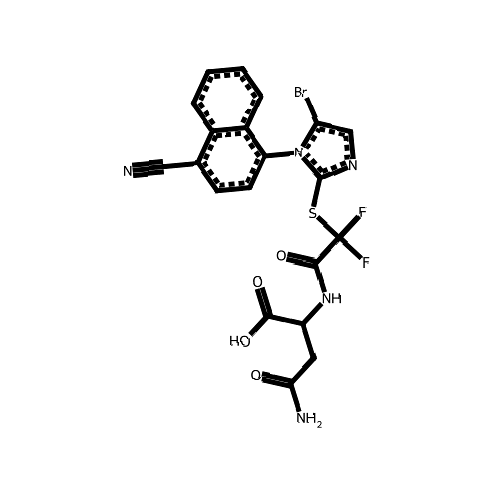 N#Cc1ccc(-n2c(Br)cnc2SC(F)(F)C(=O)NC(CC(N)=O)C(=O)O)c2ccccc12